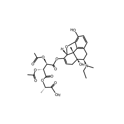 CCN(C)[C@@H]1Cc2ccc(O)c3c2[C@@]2(C)[C@@H](O3)C(OC(=O)[C@H](OC(C)=O)[C@@H](OC(C)=O)C(=O)O[C@@H](C)C(=O)O)=CC[C@@]12O